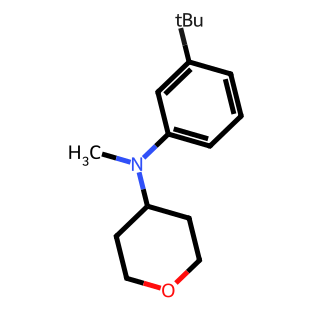 CN(c1cccc(C(C)(C)C)c1)C1CCOCC1